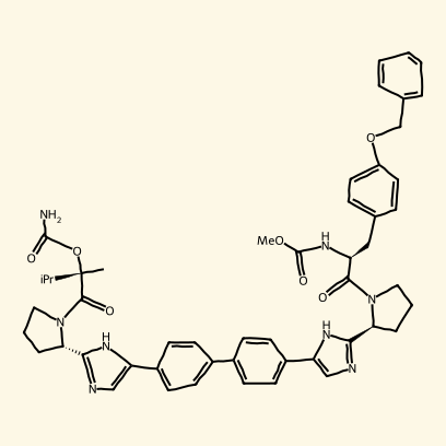 COC(=O)N[C@@H](Cc1ccc(OCc2ccccc2)cc1)C(=O)N1CCC[C@H]1c1ncc(-c2ccc(-c3ccc(-c4cnc([C@@H]5CCCN5C(=O)[C@@](C)(OC(N)=O)C(C)C)[nH]4)cc3)cc2)[nH]1